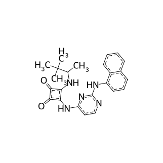 CC(Nc1c(Nc2ccnc(Nc3cccc4ccccc34)n2)c(=O)c1=O)C(C)(C)C